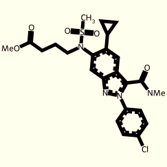 CNC(=O)c1c2cc(C3CC3)c(N(CCCC(=O)OC)S(C)(=O)=O)cc2nn1-c1ccc(Cl)cc1